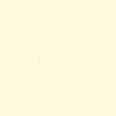 O=C(O)C(F)(C(=O)O)C(F)(F)F